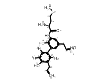 Cl.[2H]c1c([2H])c(-c2cc(CC=C)cc(NC(=O)[C@@H](N)CCSC)c2O)c([2H])c(CC=C)c1O